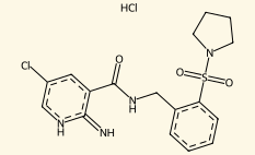 Cl.N=c1[nH]cc(Cl)cc1C(=O)NCc1ccccc1S(=O)(=O)N1CCCC1